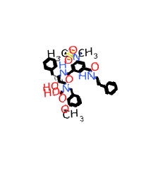 COc1cccc(CN(C[C@@H](O)[C@H](Cc2ccccc2)NC(=O)c2cc(C(=O)NCCc3ccccc3)cc(N(C)S(C)(=O)=O)c2)C(=O)O)c1